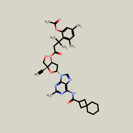 C#C[C@]1(CO)O[C@@H](n2cnc3c(NC(=O)C4CC5(CCCCC5)C4)nc(C)nc32)C[C@@H]1OC(=O)CC(C)(C)c1c(C)cc(C)cc1OC(C)=O